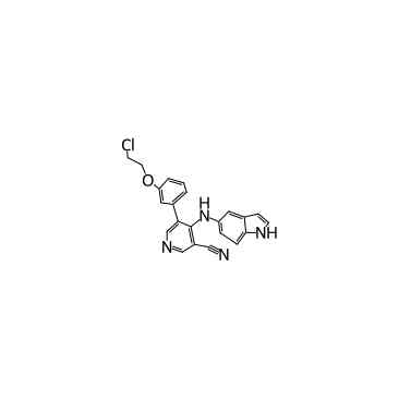 N#Cc1cncc(-c2cccc(OCCCl)c2)c1Nc1ccc2[nH]ccc2c1